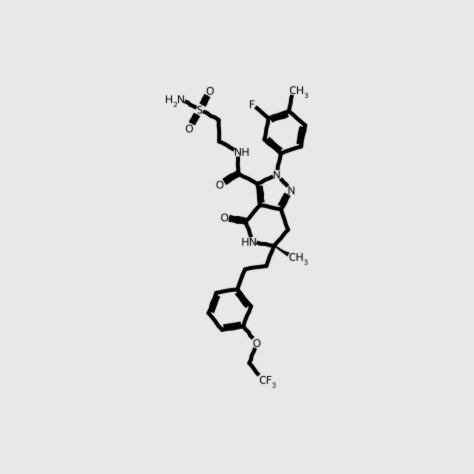 Cc1ccc(-n2nc3c(c2C(=O)NCCS(N)(=O)=O)C(=O)N[C@@](C)(CCc2cccc(OCC(F)(F)F)c2)C3)cc1F